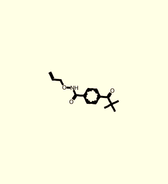 C=CCONC(=O)c1ccc(C(=O)C(C)(C)C)cc1